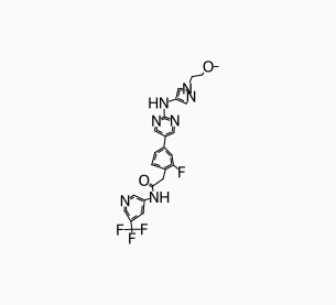 COCCn1cc(Nc2ncc(-c3ccc(CC(=O)Nc4cncc(C(F)(F)F)c4)c(F)c3)cn2)cn1